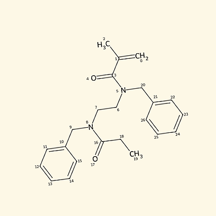 C=C(C)C(=O)N(CCN(Cc1ccccc1)C(=O)CC)Cc1ccccc1